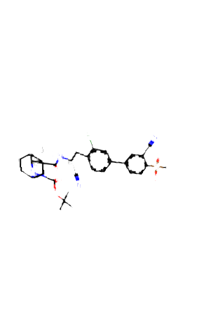 CC(C)(C)OC(=O)N1C2CCC(CC2)[C@H]1C(=O)N[C@H](C#N)Cc1ccc(-c2ccc(S(C)(=O)=O)c(C#N)c2)cc1F